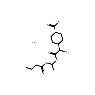 CCCC(=O)OC(C)OC(=O)C(N)[C@H]1CC[C@H](C(=O)[O-])CC1.[Na+]